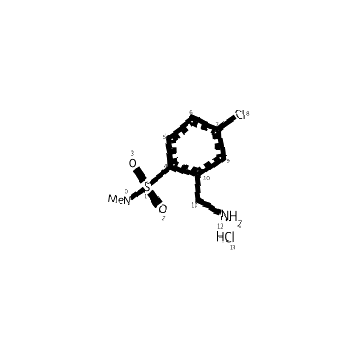 CNS(=O)(=O)c1ccc(Cl)cc1CN.Cl